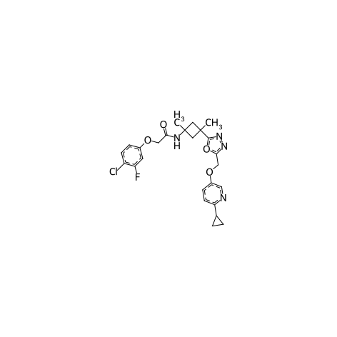 CC1(NC(=O)COc2ccc(Cl)c(F)c2)CC(C)(c2nnc(COc3ccc(C4CC4)nc3)o2)C1